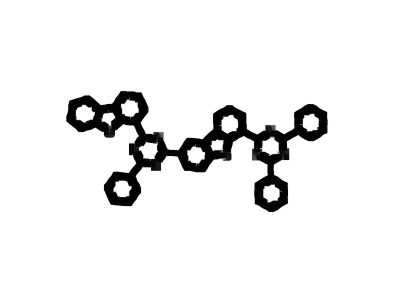 c1ccc(-c2nc(-c3ccc4sc5c(-c6nc(-c7ccccc7)nc(-c7ccccc7)n6)cccc5c4c3)nc(-c3cccc4c3oc3ccccc34)n2)cc1